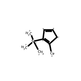 C[Si](C)(C)C1=[C]([Ce])CC=C1